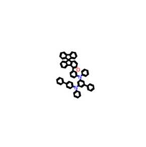 c1ccc(-c2ccc(N(c3ccccc3)c3cc(-c4ccccc4)cc(N(c4ccccc4)c4cccc5c4oc4ccc6c(c45)-c4ccccc4C64c5ccccc5-c5ccccc54)c3)cc2)cc1